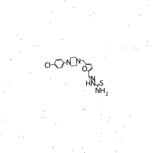 NC(=S)N/N=C/c1ccc(CN2CCN(c3ccc(Cl)cc3)CC2)o1